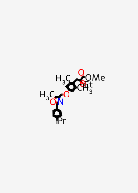 CCOC(Cc1c(C)cc(OCc2nc(-c3ccc(C(C)C)cc3)oc2C)cc1C)C(=O)OC